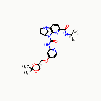 CC[C@@H](NC(=O)c1ccc2c(n1)N(C(=O)Nc1cc(OC[C@H]3COC(C)(C)O3)ccn1)C1CCN2C1)C(F)(F)F